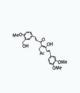 COc1ccc(/C=C/C(=O)/C(CC(C)=O)=C(O)/C=C/c2ccc(OC)c(OC)c2)cc1CO